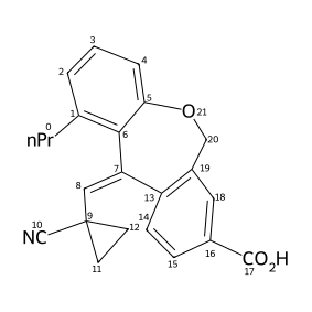 CCCc1cccc2c1C(=CC1(C#N)CC1)c1ccc(C(=O)O)cc1CO2